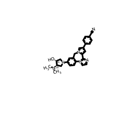 CN(C)[C@@H]1CN(c2ccc3c(c2)Cn2cc(-c4ccc(C#N)cc4)cc2-c2nccn2-3)C[C@H]1O